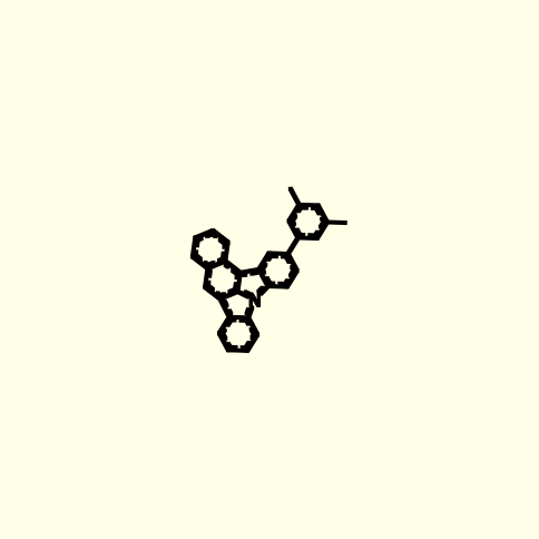 Cc1cc(C)cc(-c2ccc3c(c2)c2c4ccccc4cc4c5ccccc5n3c42)c1